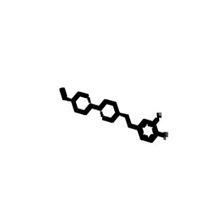 C=C[C@H]1CC[C@H]([C@H]2CC[C@H](CCc3ccc(F)c(F)c3)CC2)CC1